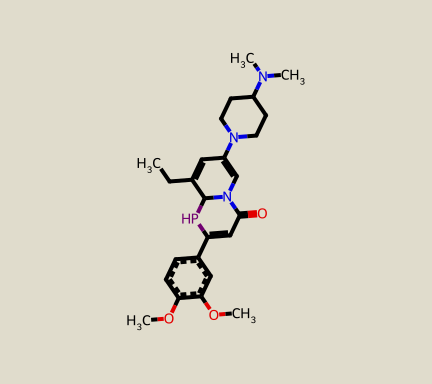 CCC1=CC(N2CCC(N(C)C)CC2)=CN2C(=O)C=C(c3ccc(OC)c(OC)c3)PC12